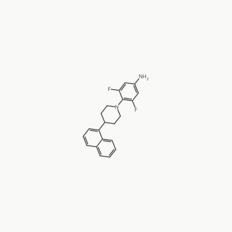 Nc1cc(F)c(N2CCC(c3cccc4ccccc34)CC2)c(F)c1